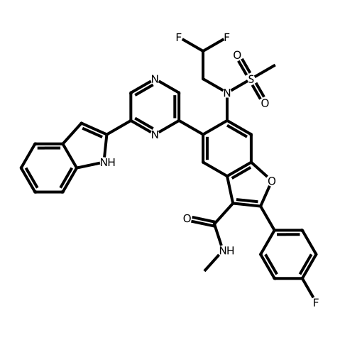 CNC(=O)c1c(-c2ccc(F)cc2)oc2cc(N(CC(F)F)S(C)(=O)=O)c(-c3cncc(-c4cc5ccccc5[nH]4)n3)cc12